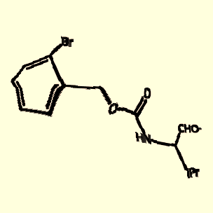 CC(C)C([C]=O)NC(=O)OCc1ccccc1Br